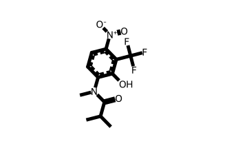 CC(C)C(=O)N(C)c1ccc([N+](=O)[O-])c(C(F)(F)F)c1O